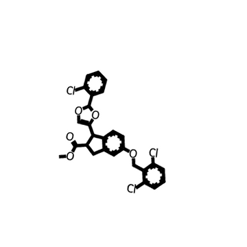 COC(=O)C1Cc2cc(OCc3c(Cl)cccc3Cl)ccc2C1C1=COC(c2ccccc2Cl)O1